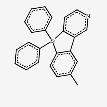 Cc1ccc2c(c1)-c1cnccc1[Si]2(c1ccccc1)c1ccccc1